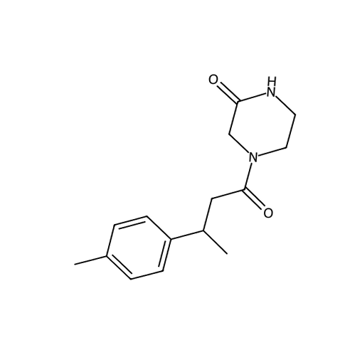 Cc1ccc(C(C)CC(=O)N2CCNC(=O)C2)cc1